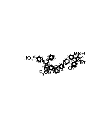 Cc1c(S(=O)O)c(-c2cccc(N3CCN(c4ccc(N5CCO[P@]5(=O)c5ccc(N[C@H](CCN6CCC(C(=O)O)CC6)CSc6ccccc6)c(S(=O)(=O)C(F)(F)F)c5)cc4)CC3)c2)c(-c2ccc(Cl)cc2)n1C(C)C